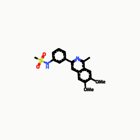 COc1cc2cc(-c3cccc(NS(C)(=O)=O)c3)nc(C)c2cc1OC